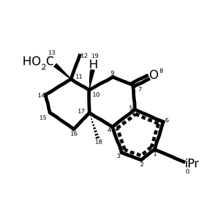 CC(C)c1ccc2c(c1)C(=O)C[C@H]1[C@](C)(C(=O)O)CCC[C@]21C